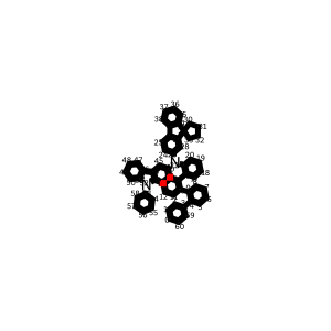 c1ccc(-c2ccccc2-c2ccccc2-c2ccccc2N(c2ccc3c(c2)C2(CCCC2)c2ccccc2-3)c2ccc3c(c2)c2ccccc2n3-c2ccccc2)cc1